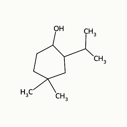 CC(C)C1CC(C)(C)CCC1O